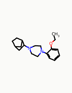 CCOc1ccccc1N1CCN(C2CC3CCC2C3)CC1